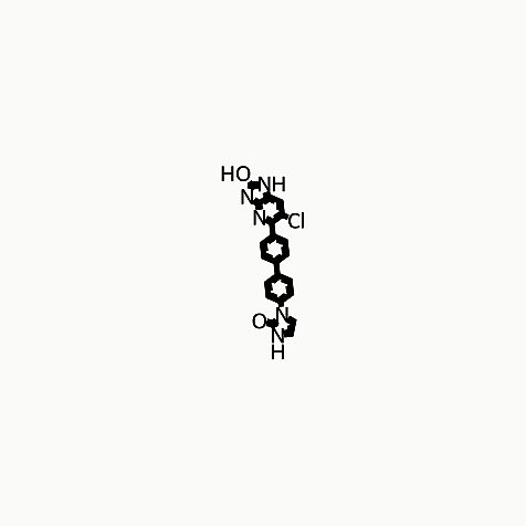 O=c1[nH]ccn1-c1ccc(-c2ccc(-c3nc4nc(O)[nH]c4cc3Cl)cc2)cc1